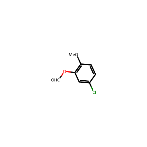 COc1ccc(Cl)cc1OC=O